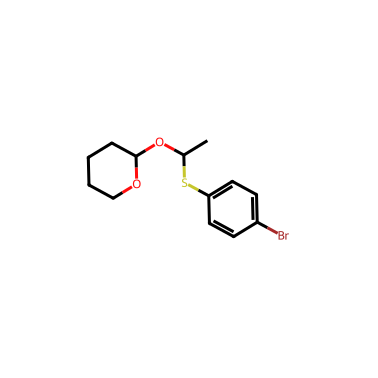 CC(OC1CCCCO1)Sc1ccc(Br)cc1